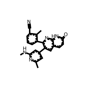 CNc1cc(-c2cc3ccc(=O)[nH]c3nc2-c2cccc(C#N)c2C)cc(C)n1